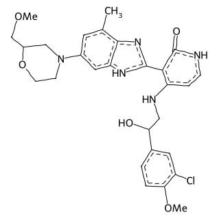 COCC1CN(c2cc(C)c3nc(-c4c(NCC(O)c5ccc(OC)c(Cl)c5)cc[nH]c4=O)[nH]c3c2)CCO1